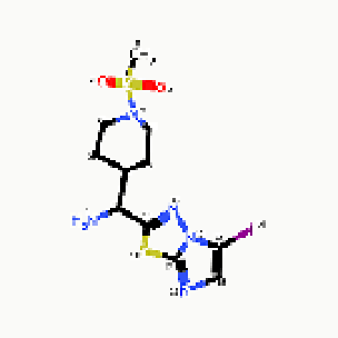 CS(=O)(=O)N1CCC(C(N)c2nn3c(I)cnc3s2)CC1